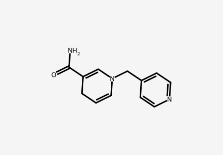 NC(=O)C1=CN(Cc2ccncc2)C=CC1